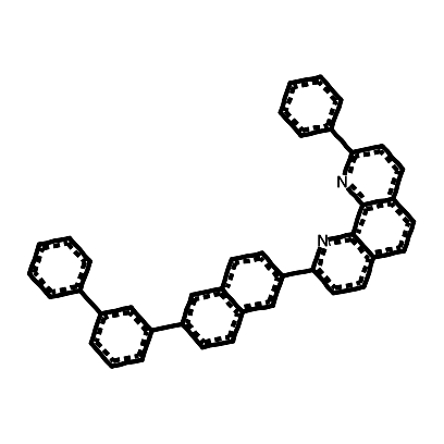 c1ccc(-c2cccc(-c3ccc4cc(-c5ccc6ccc7ccc(-c8ccccc8)nc7c6n5)ccc4c3)c2)cc1